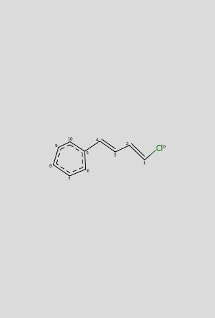 ClC=CC=Cc1ccccc1